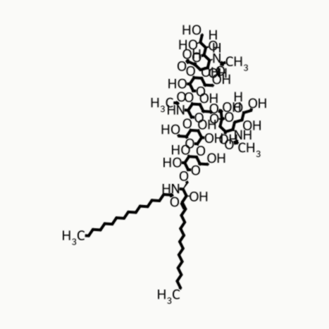 CCCCCCCCCCCCC/C=C/[C@@H](O)[C@H](CO[C@@H]1OC(CO)[C@@H](O[C@@H]2OC(CO)[C@H](O[C@@H]3OC(CO[C@]4(C(=O)O)CC(O)[C@@H](NC(C)=O)C([C@H](O)[C@H](O)CO)O4)[C@H](O)[C@H](O[C@@H]4OC(CO)[C@H](O)[C@H](O[C@]5(C(=O)O)CC(O)[C@@H](NC(C)=O)C([C@H](O)[C@H](O)CO)O5)C4O)C3NC(C)=O)[C@H](O)C2O)[C@H](O)C1O)NC(=O)CCCCCCCCCCCCCCC